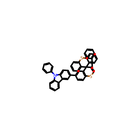 c1ccc(-c2cccc3c2C2(c4ccccc4Sc4ccccc42)c2cc(-c4ccc5c(c4)c4ccccc4n5-c4ccccc4)ccc2S3)cc1